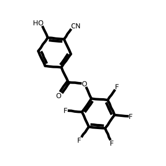 N#Cc1cc(C(=O)Oc2c(F)c(F)c(F)c(F)c2F)ccc1O